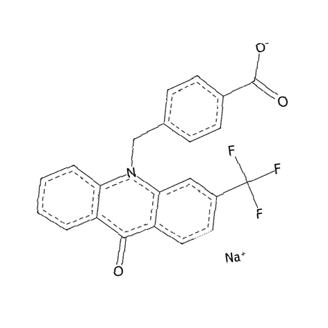 O=C([O-])c1ccc(Cn2c3ccccc3c(=O)c3ccc(C(F)(F)F)cc32)cc1.[Na+]